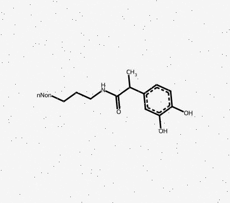 CCCCCCCCCCCCNC(=O)C(C)c1ccc(O)c(O)c1